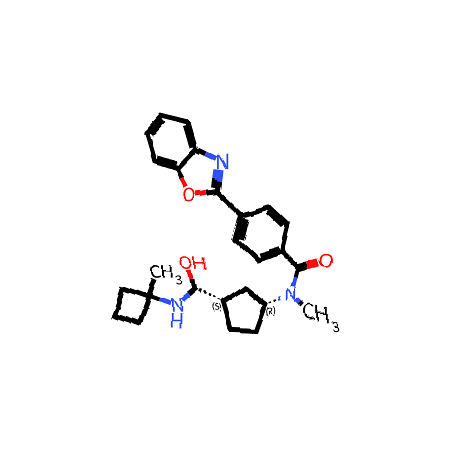 CN(C(=O)c1ccc(-c2nc3ccccc3o2)cc1)[C@@H]1CC[C@H](C(O)NC2(C)CCC2)C1